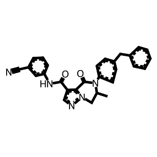 CC1Cn2ncc(C(=O)Nc3cccc(C#N)c3)c2C(=O)N1c1ccc(Cc2ccccc2)cc1